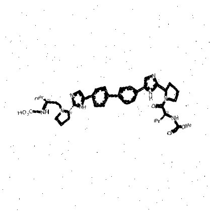 CCC[C@@H](CN1CCC[C@H]1c1ncc(-c2ccc(-c3ccc(-c4cnc(C5CCCN5C(=O)[C@@H](NC(=O)OC)C(C)C)[nH]4)cc3)cc2)[nH]1)NC(=O)O